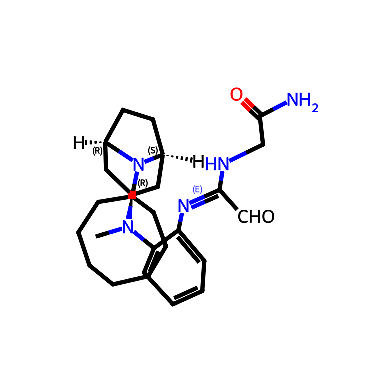 CN(c1ccccc1/N=C(\C=O)NCC(N)=O)[C@H]1C[C@H]2CC[C@@H](C1)N2C1CCCCCCC1